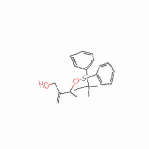 C=C(CO)C(C)O[Si](c1ccccc1)(c1ccccc1)C(C)(C)C